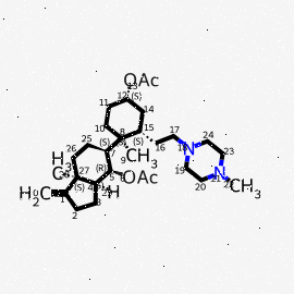 C=C1CC[C@@H]2[C@H](OC(C)=O)[C@H]([C@@]3(C)CC[C@H](OC(C)=O)C[C@@H]3CCN3CCN(C)CC3)CC[C@]12C